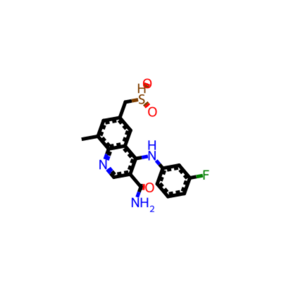 Cc1cc(C[SH](=O)=O)cc2c(Nc3cccc(F)c3)c(C(N)=O)cnc12